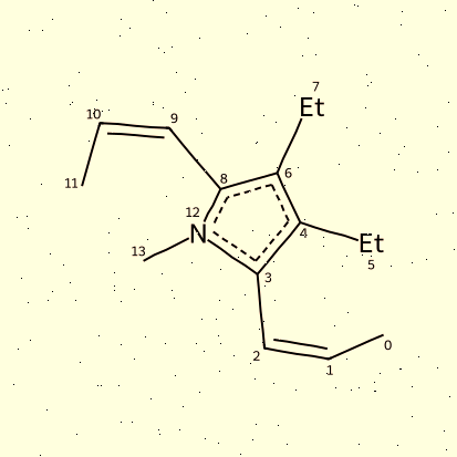 C/C=C\c1c(CC)c(CC)c(/C=C\C)n1C